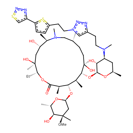 CC[C@H]1OC(=O)[C@H](C)[C@@H](O[C@H]2C[C@@](C)(OC)[C@@H](O)[C@H](C)O2)[C@H](C)[C@@H](O[C@@H]2O[C@H](C)C[C@H](N(C)CCc3cn(CCc4ccc(-c5csnn5)s4)nn3)[C@H]2O)[C@](C)(O)CC[C@@H](C)CN(C)[C@H](C)[C@@H](O)C[C@]1(C)O